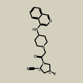 N#C[C@@H]1C[C@H](F)CN1C(=O)CN1CCC(Nc2cncc3ccccc23)CC1